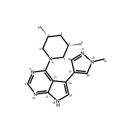 C[C@@H]1C[C@H](C)CN(c2ncnc3[nH]cc(-c4cnn(C)c4)c23)C1